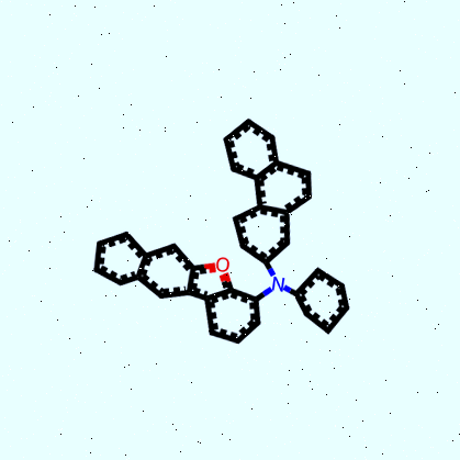 c1ccc(N(c2ccc3c(ccc4ccccc43)c2)c2cccc3c2oc2cc4ccccc4cc23)cc1